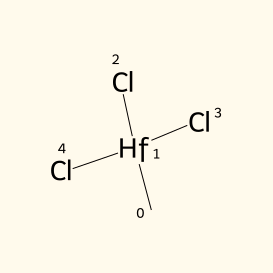 [CH3][Hf]([Cl])([Cl])[Cl]